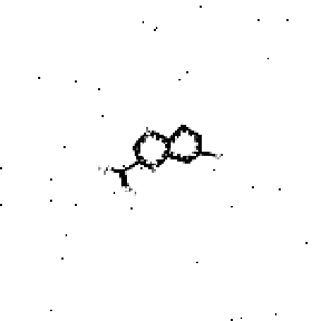 C=C(C)c1cnc2ccc(Br)cc2n1